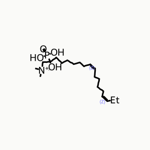 CC/C=C\CCCC/C=C\CCCCCCC(O)(C[N+](C)(C)C)P(=O)(O)O